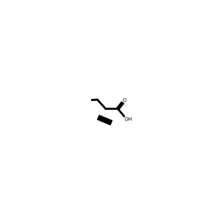 C#C.CCCC(=O)O